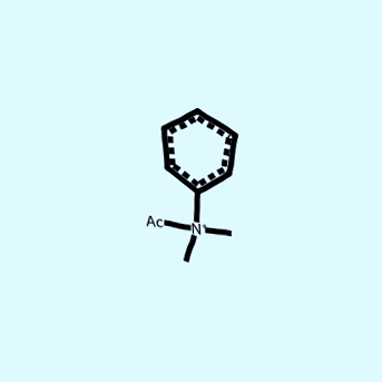 CC(=O)[N+](C)(C)c1ccccc1